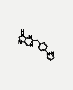 c1cnn(-c2ccc(Cc3ncc4nc[nH]c4n3)cc2)c1